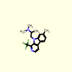 Cc1ccc2c3ccnc(C(F)(F)F)c3n(CC(C)N(C)C)c2c1